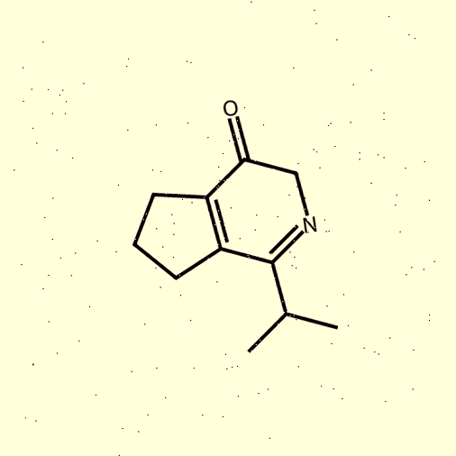 CC(C)C1=NCC(=O)C2=C1CCC2